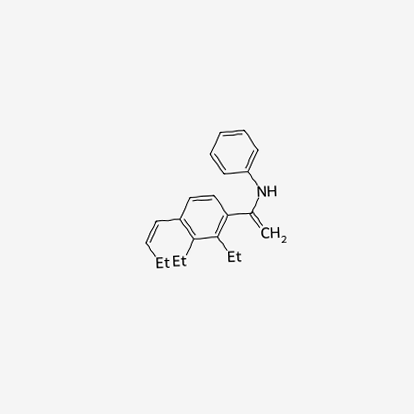 C=C(Nc1ccccc1)c1ccc(/C=C\CC)c(CC)c1CC